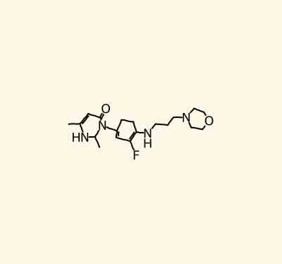 CC1=CC(=O)N(C2=CC(F)=C(NCCCN3CCOCC3)CC2)C(C)N1